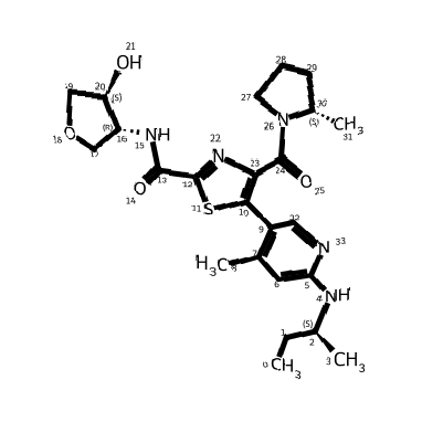 CC[C@H](C)Nc1cc(C)c(-c2sc(C(=O)N[C@@H]3COC[C@H]3O)nc2C(=O)N2CCC[C@@H]2C)cn1